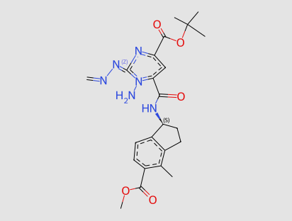 C=N/N=c1/nc(C(=O)OC(C)(C)C)cc(C(=O)N[C@H]2CCc3c2ccc(C(=O)OC)c3C)n1N